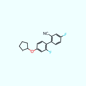 N#Cc1cc(F)ccc1-c1ccc(OC2[CH]CCC2)cc1F